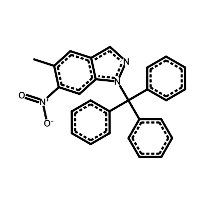 Cc1cc2cnn(C(c3ccccc3)(c3ccccc3)c3ccccc3)c2cc1[N+](=O)[O-]